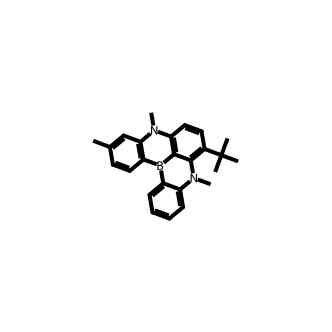 Cc1ccc2c(c1)N(C)c1ccc(C(C)(C)C)c3c1B2c1ccccc1N3C